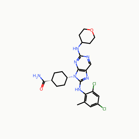 Cc1cc(Cl)cc(Cl)c1Nc1nc2cnc(NC3CCOCC3)nc2n1[C@H]1CC[C@@H](C(N)=O)CC1